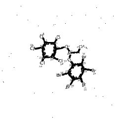 C[CH2][Al]([O]c1c(Cl)c(Cl)c(Cl)c(Cl)c1Cl)[O]c1c(Br)c(Br)c(Br)c(Br)c1Br